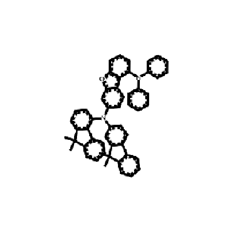 CC1(C)c2ccccc2-c2ccc(N(c3ccc4c(c3)oc3cccc(N(c5ccccc5)c5ccccc5)c34)c3cccc4c3-c3ccccc3C4(C)C)cc21